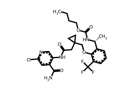 CCCCOC(=O)N[C@H](C)c1cccc(C(F)(F)F)c1OCC1(CC(=O)Nc2cnc(Cl)cc2C(N)=O)CC1